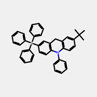 CC(C)(C)c1ccc2c(c1)Cc1cc([Si](c3ccccc3)(c3ccccc3)c3ccccc3)ccc1N2c1ccccc1